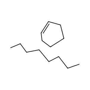 C1=CCCCC1.CCCCCCCC